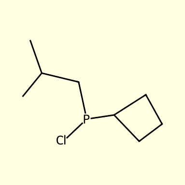 CC(C)CP(Cl)C1CCC1